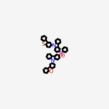 O=P(c1ccccc1)(c1ccc2c(c1)c1ccccc1n2-c1ccc2oc3ccccc3c2c1)c1ccc2c(c1)c1ccccc1n2-c1ccc2sc3ccccc3c2c1